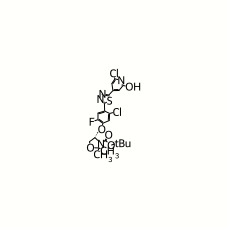 CC(C)(C)OC(=O)N1[C@@H](COc2cc(Cl)c(-c3nnc(-c4cc(O)nc(Cl)c4)s3)cc2F)COC1(C)C